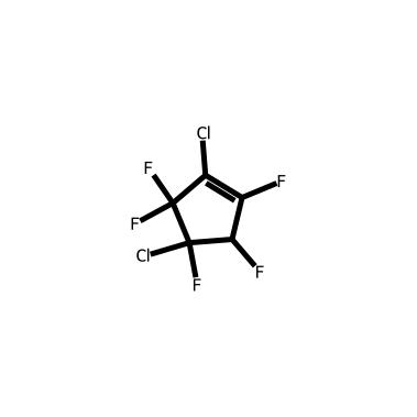 FC1=C(Cl)C(F)(F)C(F)(Cl)C1F